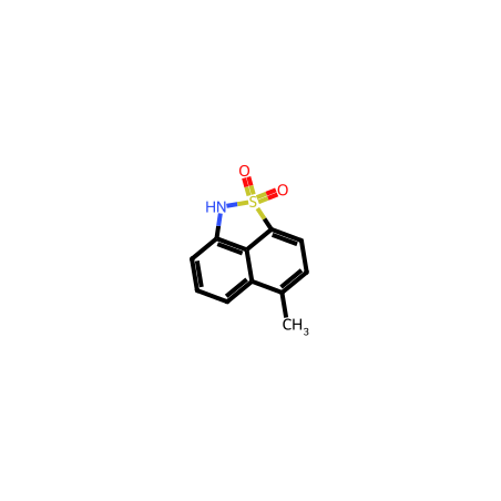 Cc1ccc2c3c(cccc13)NS2(=O)=O